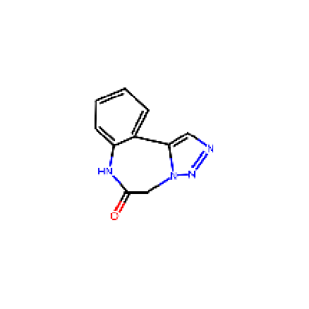 O=C1Cn2nncc2-c2ccccc2N1